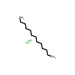 CCCCCCCCCCC[CH2][AlH2].Cl.Cl